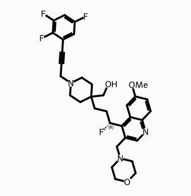 COc1ccc2ncc(CN3CCOCC3)c([C@H](F)CCC3(CO)CCN(CC#Cc4cc(F)cc(F)c4F)CC3)c2c1